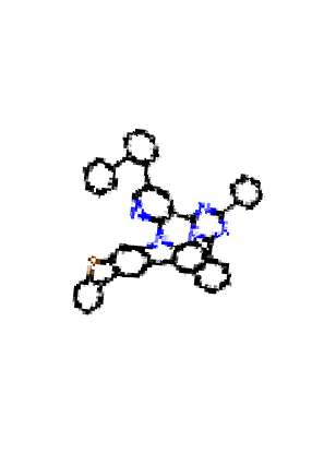 c1ccc(-c2nc(-c3ccccc3)nc(-c3cc(-c4ccccc4-c4ccccc4)cnc3-n3c4ccccc4c4cc5c(cc43)sc3ccccc35)n2)cc1